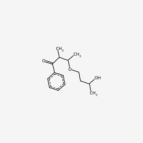 CC(O)CCOC(C)C(C)C(=O)c1ccccc1